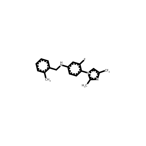 Cc1ccccc1CNc1ccc(-n2cc(C(F)(F)F)nc2C)c(F)c1